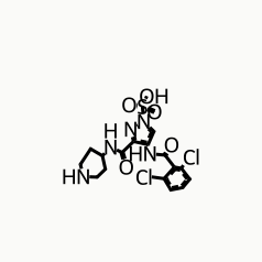 O=C(NC1CCNCC1)c1nn(S(=O)(=O)O)cc1NC(=O)c1c(Cl)cccc1Cl